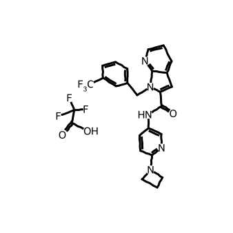 O=C(Nc1ccc(N2CCC2)nc1)c1cc2cccnc2n1Cc1cccc(C(F)(F)F)c1.O=C(O)C(F)(F)F